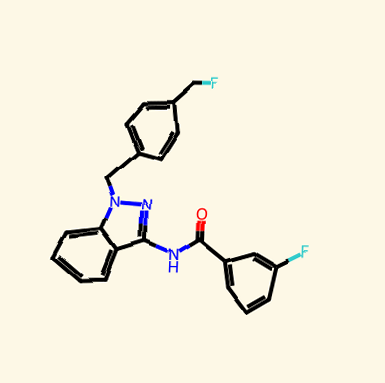 O=C(Nc1nn(Cc2ccc(CF)cc2)c2ccccc12)c1cccc(F)c1